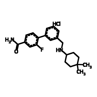 CC1(C)CCC(NCc2cccc(-c3ccc(C(N)=O)cc3F)c2)CC1.Cl